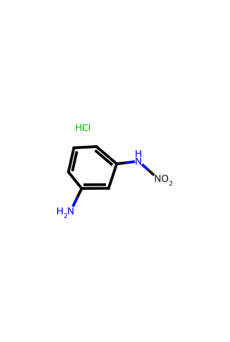 Cl.Nc1cccc(N[N+](=O)[O-])c1